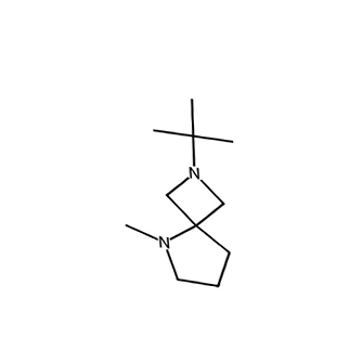 CN1CCCC12CN(C(C)(C)C)C2